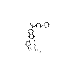 CC(CCCc1nc2cc(C(=O)N3CCN(c4ccccc4)CC3)ccc2nc1-c1ccccc1)C(=O)O